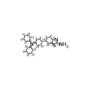 Nc1nc2ccc(-c3ccc(N(c4ccccc4)c4ccccc4)cc3)cc2s1